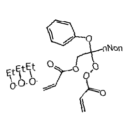 C=CC(=O)OCC(CCCCCCCCC)(OOC(=O)C=C)Oc1ccccc1.[CH2]C[O].[CH2]C[O].[CH2]C[O]